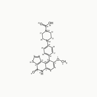 COc1ccc2[nH]c(=O)c3sccc3c2c1-c1ccc(N2CCN(C(=O)O)CC2)cc1